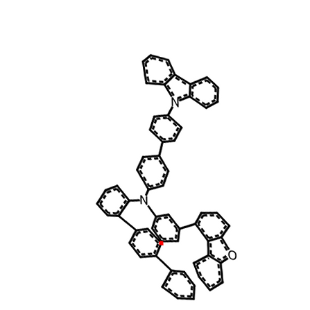 c1ccc(-c2ccc(-c3ccccc3N(c3ccc(-c4ccc(-n5c6ccccc6c6ccccc65)cc4)cc3)c3cccc(-c4cccc5oc6ccccc6c45)c3)cc2)cc1